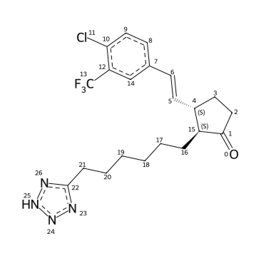 O=C1CC[C@@H](C=Cc2ccc(Cl)c(C(F)(F)F)c2)[C@@H]1CCCCCCc1nn[nH]n1